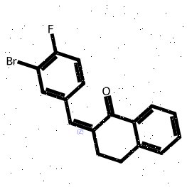 O=C1/C(=C\c2ccc(F)c(Br)c2)CCc2ccccc21